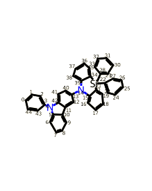 c1ccc(-n2c3ccccc3c3cc(N4c5ccccc5[Si](c5ccccc5)(c5ccccc5)c5ccccc54)ccc32)cc1